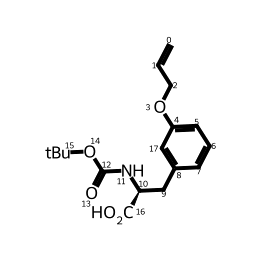 C=CCOc1cccc(C[C@H](NC(=O)OC(C)(C)C)C(=O)O)c1